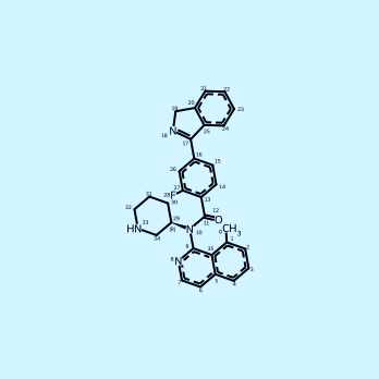 Cc1cccc2ccnc(N(C(=O)c3ccc(C4=NCc5ccccc54)cc3F)[C@@H]3CCCNC3)c12